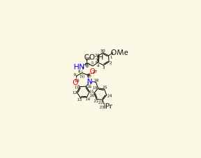 COc1ccc(C[C@@H](N[C@H]2COc3ccccc3N(Cc3ccc(C(C)C)cc3)C2=O)C(=O)O)cc1